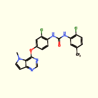 Cn1ccc2ncnc(Oc3ccc(NC(=O)Nc4cc(C(F)(F)F)ccc4Cl)c(Cl)c3)c21